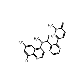 CC(c1nccnc1-c1ccc(=O)n(C)n1)N(C)c1ncnc2c(Cl)cc(C(F)(F)F)cc12